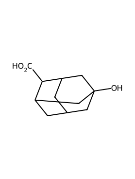 O=C(O)C1C2CC3CC1CC(O)(C3)C2